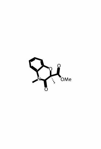 COC(=O)[C@]1(C)Oc2ccccc2N(C)C1=O